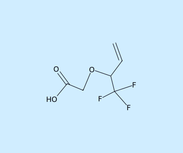 C=CC(OCC(=O)O)C(F)(F)F